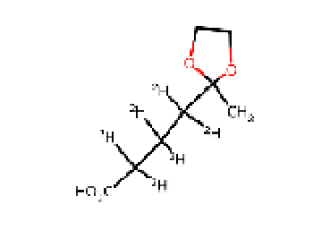 [2H]C([2H])(C(=O)O)C([2H])([2H])C([2H])([2H])C1(C)OCCO1